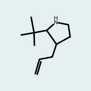 C=CCC1CCNC1C(C)(C)C